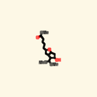 COC(=O)CCCCC1CC2C(CC(O)C2C(OC)OC)O1